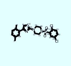 Cc1ccc(C)c(-c2csc(N3CCN(S(=O)(=O)c4cc(Cl)ccc4Cl)CC3)n2)c1